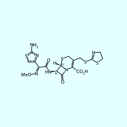 CON=C(C(=O)N[C@@H]1C(=O)N2C(C(=O)O)=C(CSC3=NCCS3)CS[C@@H]12)c1csc(N)n1